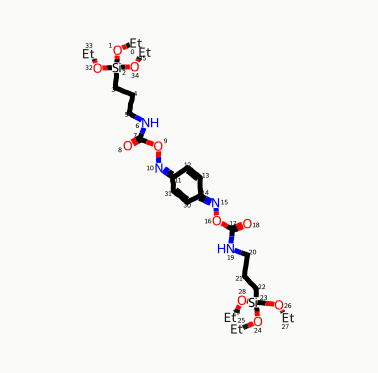 CCO[Si](CCCNC(=O)ON=C1C=CC(=NOC(=O)NCCC[Si](OCC)(OCC)OCC)C=C1)(OCC)OCC